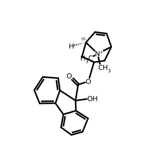 C[N+]1(C)C2C=C[C@@H]1CC(OC(=O)C1(O)c3ccccc3-c3ccccc31)C2